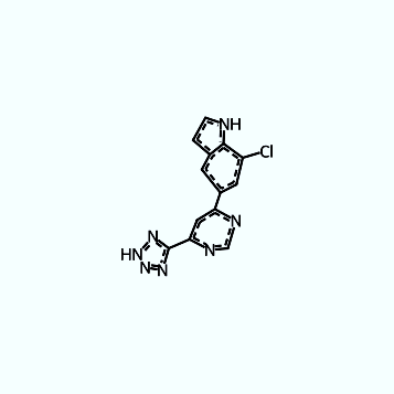 Clc1cc(-c2cc(-c3nn[nH]n3)ncn2)cc2cc[nH]c12